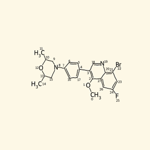 COc1c(-c2ccc(N3CC(C)OC(C)C3)cc2)cnc2c(Br)cc(F)cc12